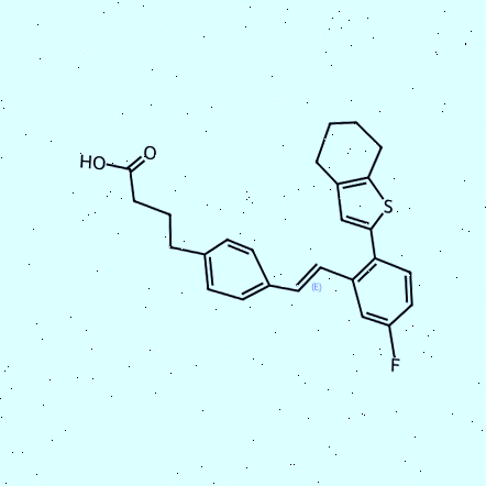 O=C(O)CCCc1ccc(/C=C/c2cc(F)ccc2-c2cc3c(s2)CCCC3)cc1